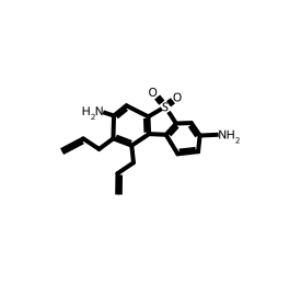 C=CCc1c(N)cc2c(c1CC=C)-c1ccc(N)cc1S2(=O)=O